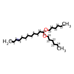 C=C/C=C/CCCCCCCC(OCCCCCC)OCCCCCC